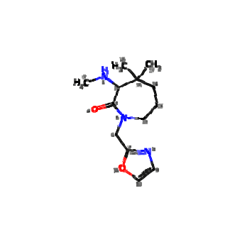 CNC1C(=O)N(Cc2ncco2)CCCC1(C)C